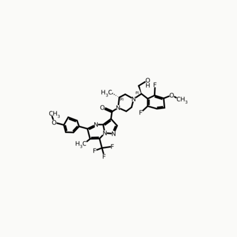 COc1ccc(-c2nc3c(C(=O)N4CCN([C@@H](CO)c5c(F)ccc(OC)c5F)C[C@H]4C)cnn3c(C(F)(F)F)c2C)cc1